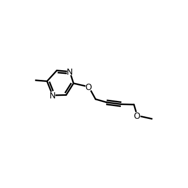 COCC#CCOc1cnc(C)cn1